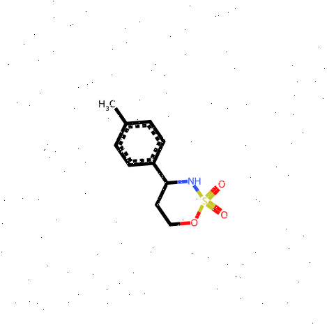 Cc1ccc(C2CCOS(=O)(=O)N2)cc1